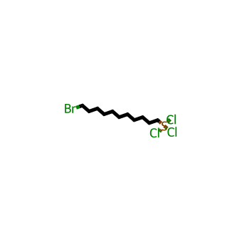 ClS(Cl)(Cl)CCCCCCCCCCCBr